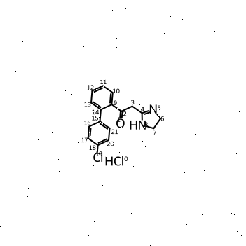 Cl.O=C(CC1=NCCN1)c1ccccc1-c1ccc(Cl)cc1